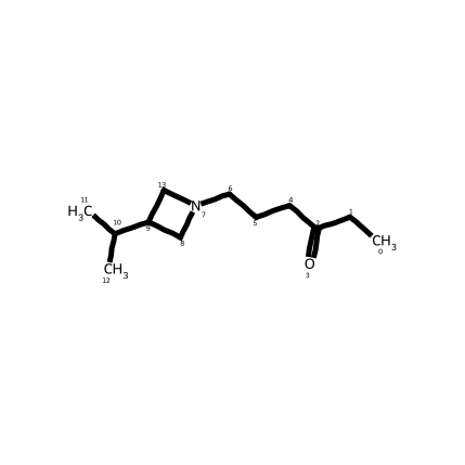 CCC(=O)CCCN1CC(C(C)C)C1